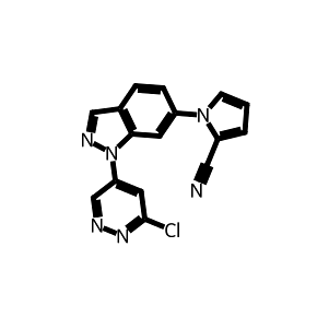 N#Cc1cccn1-c1ccc2cnn(-c3cnnc(Cl)c3)c2c1